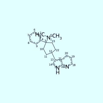 CN(C)C1(c2ccccc2)CCC(c2c[nH]c3ncccc23)CC1